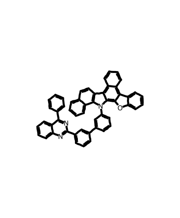 c1ccc(-c2nc(-c3cccc(-c4cccc(-n5c6c7ccccc7ccc6c6c7ccccc7c7c8ccccc8oc7c65)c4)c3)nc3ccccc23)cc1